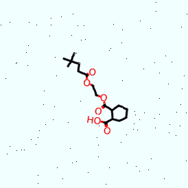 CC(C)(C)CCC(=O)OCCOC(=O)C1CCCCC1C(=O)O